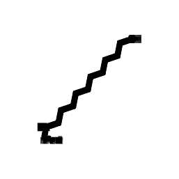 CCCCCNCCCCCCCCCCO